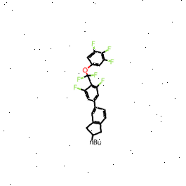 CCCCC1Cc2ccc(-c3cc(F)c(C(F)(F)Oc4cc(F)c(F)c(F)c4)c(F)c3)cc2C1